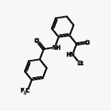 CCNC(=O)C1=C(NC(=O)C2C=CC(C(F)(F)F)=CC2)C=CCC1